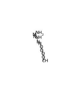 C#CCOCCOCCOCCOCCN1CCN(CCCNc2cc(CN)ncn2)CC1